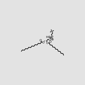 CCCCCCCCCCCCCC(=O)OC[C@H](COP(=O)(O)OCC[N+](C)(C)C)OC(=O)CCCCCCCCCCC